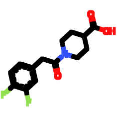 O=C(O)C1CCN(C(=O)Cc2ccc(F)c(F)c2)CC1